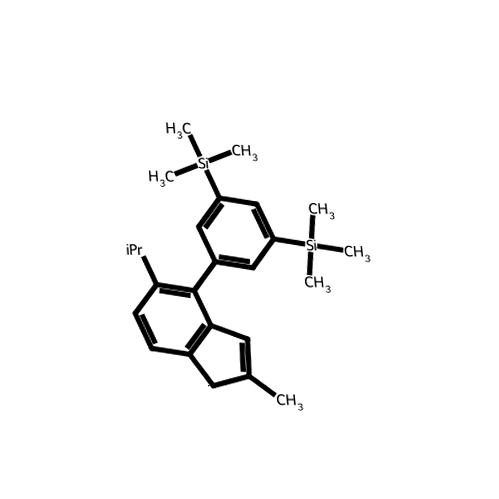 CC1=Cc2c(ccc(C(C)C)c2-c2cc([Si](C)(C)C)cc([Si](C)(C)C)c2)[CH]1